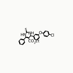 CCOC(=O)C1=C(c2ccccc2)NC(=S)NC1c1cccc(Oc2ccc(Cl)cc2)c1